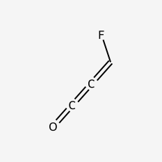 O=C=C=CF